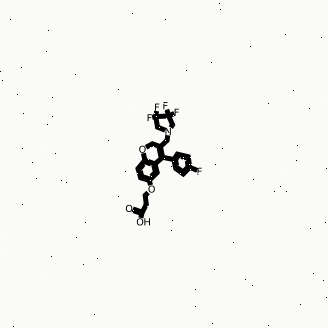 O=C(O)CCOc1ccc2c(c1)C(c1ccc(F)cc1)=C(CN1CC(F)(F)C(F)(F)C1)CO2